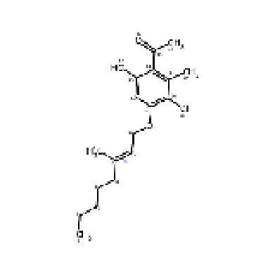 CCCCC/C(C)=C/COc1cc(O)c(C(C)=O)c(C)c1Cl